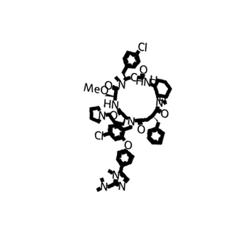 COC[C@@H]1NC(=O)[C@H](CCCN2CCCC2)N(Cc2ccc(Cl)cc2Oc2ccc(-c3cnc(CN(C)C)n3C)cc2)C(=O)C[C@@H](Cc2ccccc2)C(=O)N(C)[C@H]2CCCC[C@@H]2NC(=O)C[C@H](Cc2ccc(Cl)cc2)N(C)C1=O